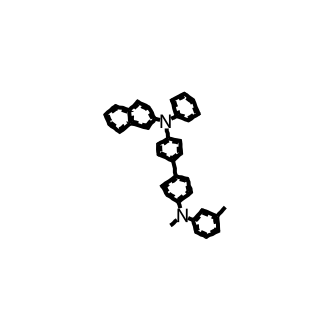 Cc1cccc(N(C)c2ccc(-c3ccc(N(c4ccccc4)c4ccc5ccccc5c4)cc3)cc2)c1